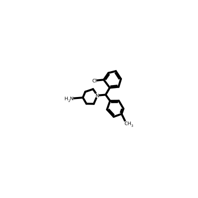 Cc1ccc(C(c2ccccc2Cl)N2CCC(N)CC2)cc1